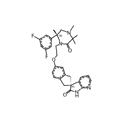 CN1C[C@@](C)(c2cc(F)cc(F)c2)N(CCOc2ccc3c(c2)C[C@@]2(C3)C(=O)Nc3ncccc32)C(=O)C1(C)C